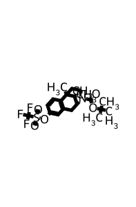 CC(C)(C)OC(=O)N1CCC2(C)c3ccc(OS(=O)(=O)C(F)(F)F)cc3CC1C2(C)C